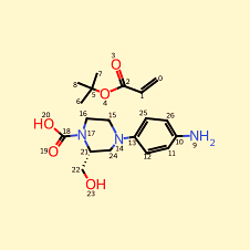 C=CC(=O)OC(C)(C)C.Nc1ccc(N2CCN(C(=O)O)[C@@H](CO)C2)cc1